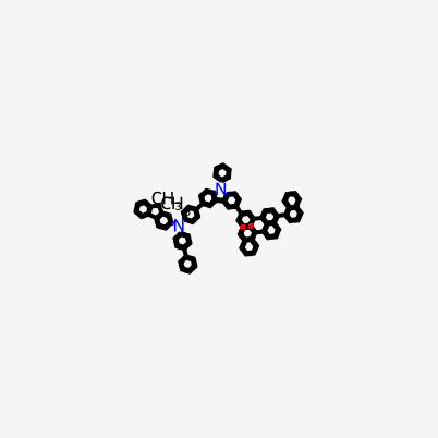 CC1(C)c2ccccc2-c2ccc(N(c3ccc(-c4ccccc4)cc3)c3ccc(-c4ccc5c(c4)c4cc(-c6cccc(-c7ccc(-c8cccc9ccccc89)c8cccc(-c9cccc%10ccccc9%10)c78)c6)ccc4n5-c4ccccc4)cc3)cc21